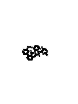 COc1cc(-c2cccc3cc([C@H](C)Nc4nc(C)ncc4[N+](=O)[O-])n(-c4ccccc4)c(=O)c23)ccn1